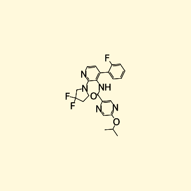 CC(C)Oc1cnc(C(=O)Nc2c(-c3ccccc3F)ccnc2N2CCC(F)(F)C2)cn1